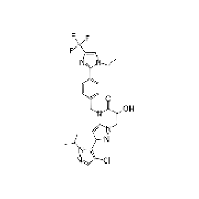 CCn1cc(C(F)(F)F)nc1-c1ccc(CN2C(=O)C(O)Cn3nc(-c4c(Cl)cnn4C(C)C)cc32)cc1